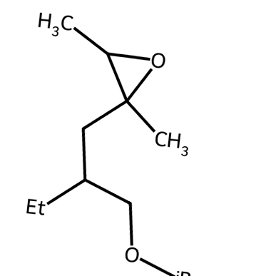 CCC(COC(C)CC)CC1(C)OC1C